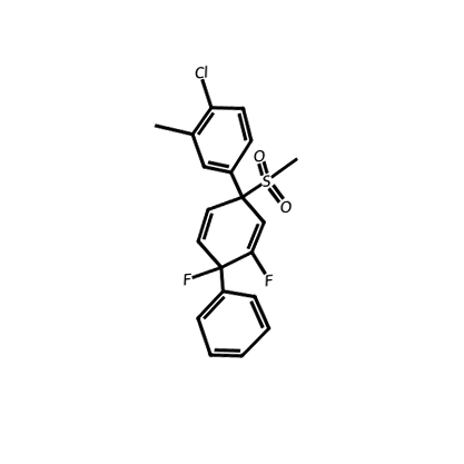 Cc1cc(C2(S(C)(=O)=O)C=CC(F)(c3ccccc3)C(F)=C2)ccc1Cl